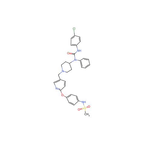 CS(=O)(=O)Nc1ccc(Oc2ccc(CN3CCC(N(C(=O)Nc4ccc(Cl)cc4)c4ccccc4)CC3)cn2)cc1